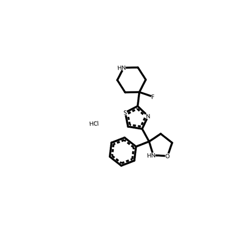 Cl.FC1(c2nc(C3(c4ccccc4)CCON3)cs2)CCNCC1